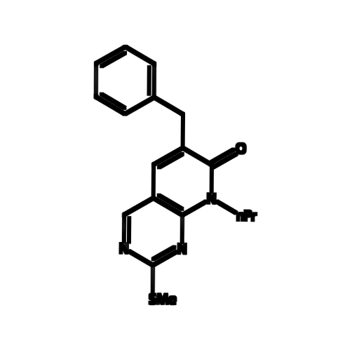 CCCn1c(=O)c(Cc2ccccc2)cc2cnc(SC)nc21